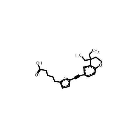 CCC1(CC)CCOc2ccc(C#Cc3ccc(CCCCC(=O)O)s3)cc21